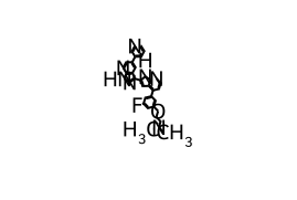 CN(C)CCOc1cc(F)cc(-c2ccnc3[nH]c(-c4n[nH]c5ncc(-c6cccnc6)cc45)cc23)c1